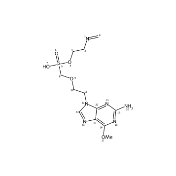 C=NCCOP(=O)(O)COCCn1cnc2c(OC)nc(N)nc21